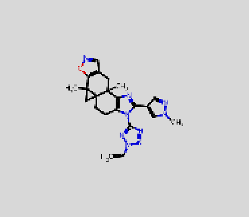 C=Cn1nnc(-n2c(-c3cnn(C)c3)nc3c2CC[C@@]24CC2(C)c2oncc2C[C@]34C)n1